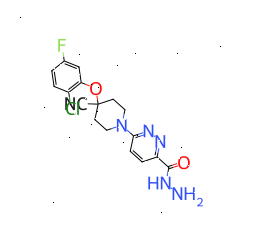 N#CC1(Oc2cc(F)ccc2Cl)CCN(c2ccc(C(=O)NN)nn2)CC1